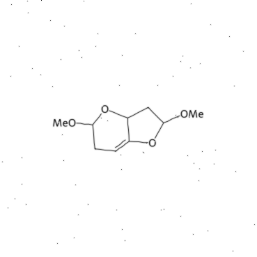 COC1CC2OC(OC)CC=C2O1